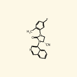 Cc1ccc(F)cc1N1C[C@H](C#N)N(c2cncc3ccccc23)C1=O